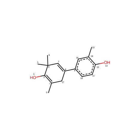 CC1=C(O)C(C)(C)C=C(c2ccc(O)c(C)c2)C1